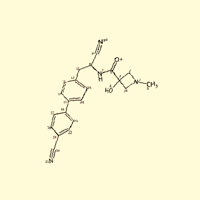 CN1CC(O)(C(=O)NC(C#N)Cc2ccc(-c3ccc(C#N)cc3)cc2)C1